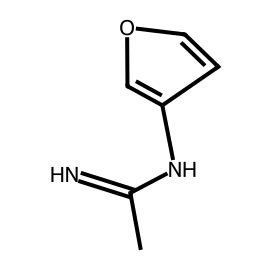 CC(=N)Nc1ccoc1